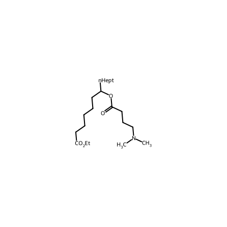 CCCCCCCC(CCCCCC(=O)OCC)OC(=O)CCCN(C)C